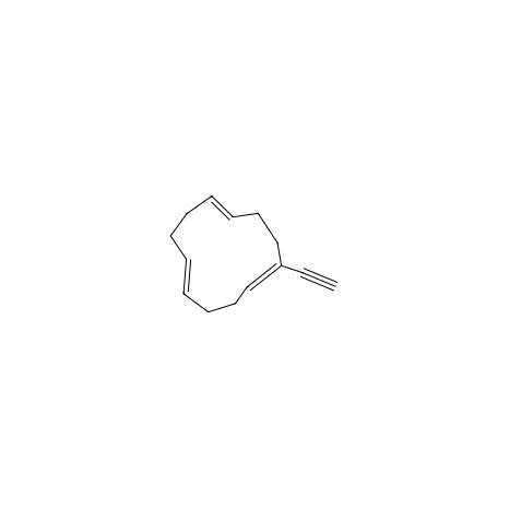 C#C/C1=C\CC/C=C/CC/C=C/CC1